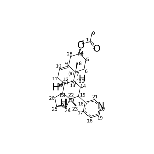 CC(=O)O[C@H]1CC[C@@]2(C)C(=CC[C@@H]3[C@@H]2CC(c2cccnc2)[C@]2(C)C=CC[C@@H]32)C1